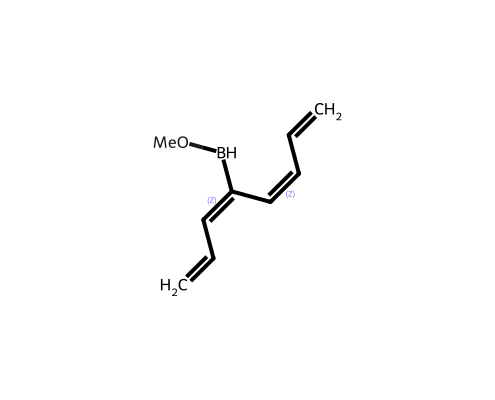 C=C/C=C\C(BOC)=C/C=C